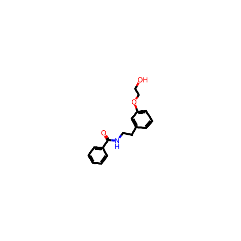 O=C(NCCc1cccc(OCCO)c1)c1ccccc1